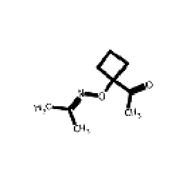 CC(=O)C1(ON=C(C)C)CCC1